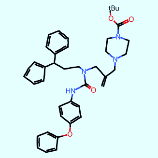 C=C(CN1CCN(C(=O)OC(C)(C)C)CC1)CN(CCC(c1ccccc1)c1ccccc1)C(=O)Nc1ccc(Oc2ccccc2)cc1